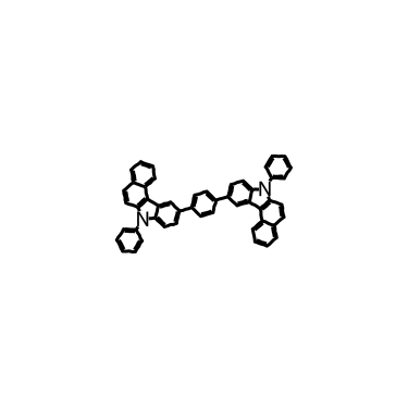 c1ccc(-n2c3ccc(-c4ccc(-c5ccc6c(c5)c5c7ccccc7ccc5n6-c5ccccc5)cc4)cc3c3c4ccccc4ccc32)cc1